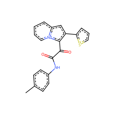 Cc1ccc(NC(=O)C(=O)c2c(-c3cccs3)cc3ccccn23)cc1